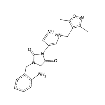 Cc1noc(C)c1CN/C=C(\C=N)N1C(=O)CN(Cc2ccccc2N)C1=O